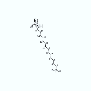 C=C(C)CCCCCCCCCCCCCCNC(=C)CC